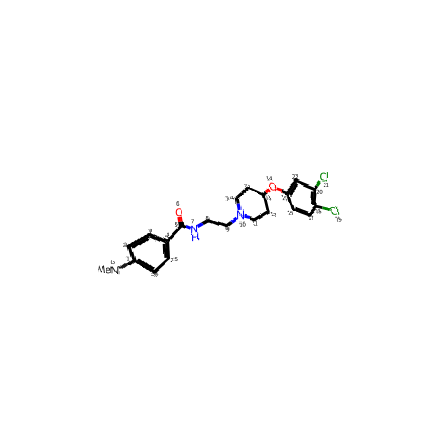 CNc1ccc(C(=O)NCCN2CCC(Oc3ccc(Cl)c(Cl)c3)CC2)cc1